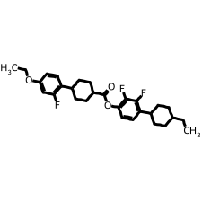 CCOc1ccc(C2CCC(C(=O)Oc3ccc(C4CCC(CC)CC4)c(F)c3F)CC2)c(F)c1